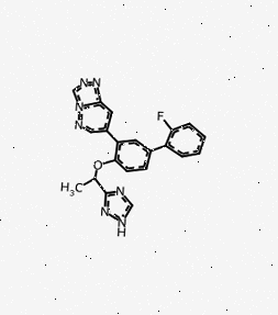 CC(Oc1ccc(-c2ccccc2F)cc1-c1cnn2cnnc2c1)c1nc[nH]n1